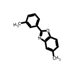 Cc1cccc(-c2nc3cc(C)ccc3o2)c1